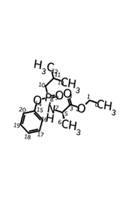 CCOC(=O)[C@@H](C)NP(=O)(CC(C)C)Oc1ccccc1